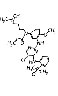 C=CC(=O)N(CCCCN(C)C)c1ccc(OC)c(Nc2ncc(Cl)c(Nc3ccccc3P(C)(C)=O)n2)c1